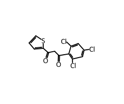 O=C(CC(=O)c1c(Cl)cc(Cl)cc1Cl)c1cccs1